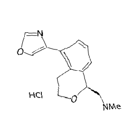 CNC[C@H]1OCCc2c(-c3cocn3)cccc21.Cl